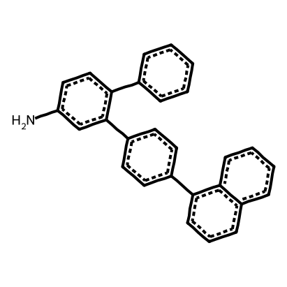 Nc1ccc(-c2ccccc2)c(-c2ccc(-c3cccc4ccccc34)cc2)c1